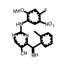 COc1cc(F)c([N+](=O)[O-])cc1Nc1ncc(C#N)c(C(=N)c2ccccc2C)n1